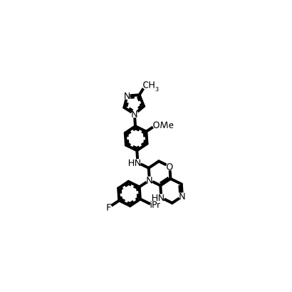 COc1cc(NC2COC3=C(NCN=C3)N2c2ccc(F)cc2C(C)C)ccc1-n1cnc(C)c1